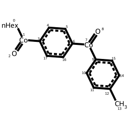 CCCCC[CH2][Co](=[O])[c]1cc[c]([Co](=[O])[c]2ccc(C)cc2)cc1